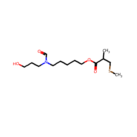 CSCC(C)C(=O)OCCCCCN(C=O)CCCO